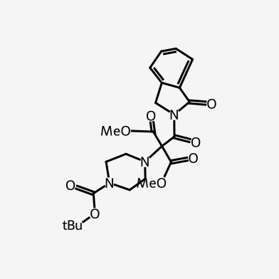 COC(=O)C(C(=O)OC)(C(=O)N1Cc2ccccc2C1=O)N1CCN(C(=O)OC(C)(C)C)CC1